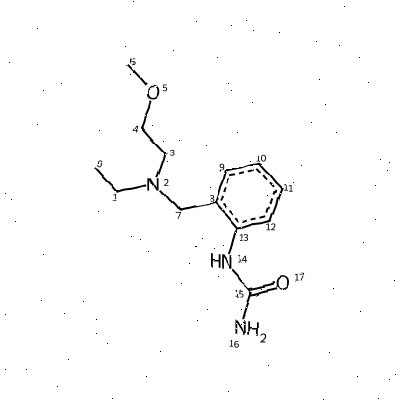 CCN(CCOC)Cc1[c]cccc1NC(N)=O